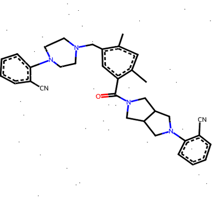 Cc1cc(C)c(C(=O)N2CC3CN(c4ccccc4C#N)CC3C2)cc1CN1CCN(c2ccccc2C#N)CC1